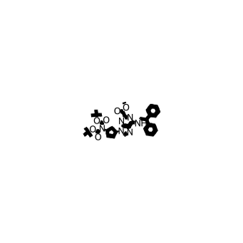 COC(=O)c1nc(NCC(c2ccccc2)c2ccccc2)c2ncn([C@H]3C=C[C@@H](N(C(=O)OC(C)(C)C)C(=O)OC(C)(C)C)C3)c2n1